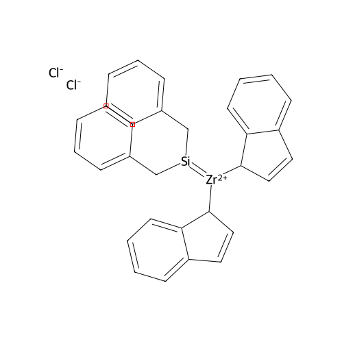 C1=C[CH]([Zr+2]([CH]2C=Cc3ccccc32)=[Si](Cc2ccccc2)Cc2ccccc2)c2ccccc21.[Cl-].[Cl-]